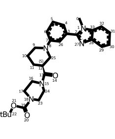 Cn1c(-c2cccc(N3CCC[C@H](C(=O)N4CCN(C(=O)OC(C)(C)C)CC4)C3)c2)nc2ccccc21